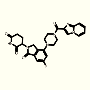 O=C1CCC(N2Cc3c(cc(F)cc3N3CCN(C(=O)c4cn5ccccc5n4)CC3)C2=O)C(=O)N1